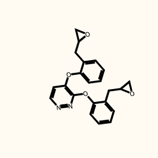 c1ccc(Oc2ccnnc2Oc2ccccc2CC2CO2)c(CC2CO2)c1